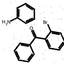 Nc1ccccc1.O=C(c1ccccc1)c1ccccc1Br